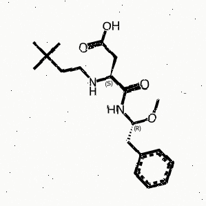 CO[C@H](Cc1ccccc1)NC(=O)[C@H](CC(=O)O)NCCC(C)(C)C